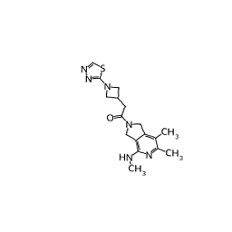 CNc1nc(C)c(C)c2c1CN(C(=O)CC1CN(c3nncs3)C1)C2